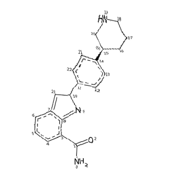 NC(=O)c1cccc2c1=NC(c1ccc([C@@H]3CCCNC3)cc1)C=2